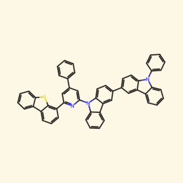 c1ccc(-c2cc(-c3cccc4c3sc3ccccc34)nc(-n3c4ccccc4c4cc(-c5ccc6c(c5)c5ccccc5n6-c5ccccc5)ccc43)c2)cc1